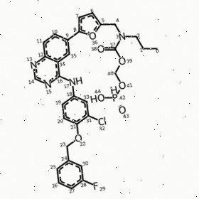 CCCN(Cc1ccc(-c2ccc3ncnc(Nc4ccc(OCc5cccc(F)c5)c(Cl)c4)c3c2)o1)C(=O)OCO[PH](=O)O